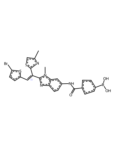 Cc1csc(/C(=C\c2ccc(Br)s2)c2nc3ccc(NC(=O)c4ccc(B(O)O)cc4)cc3n2C)n1